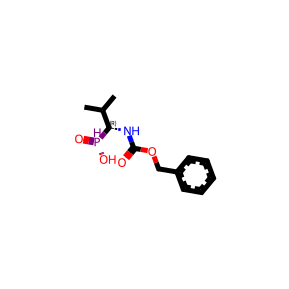 CC(C)[C@H](NC(=O)OCc1ccccc1)[PH](=O)O